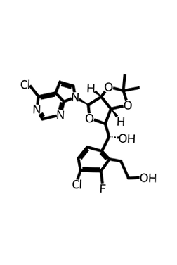 CC1(C)O[C@@H]2[C@H](O1)C([C@H](O)c1ccc(Cl)c(F)c1CCO)O[C@H]2n1ccc2c(Cl)ncnc21